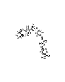 CN1C(=O)[C@@H](NC(=O)c2n[nH]c(Cc3ccc(C#CC(=O)NCCN4CCC(C(=O)O)CC4)cc3)n2)COc2ccccc21